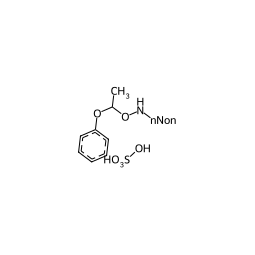 CCCCCCCCCNOC(C)Oc1ccccc1.O=S(=O)(O)O